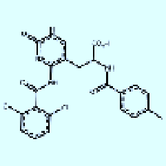 Cc1ccc(C(=O)NC(Cc2c[nH]c(=O)nc2NC(=O)c2c(Cl)cccc2Cl)C(=O)O)cc1